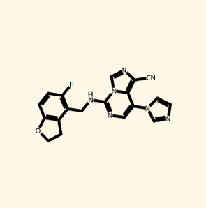 N#Cc1ncn2c(NCc3c(F)ccc4c3CCO4)ncc(-n3ccnc3)c12